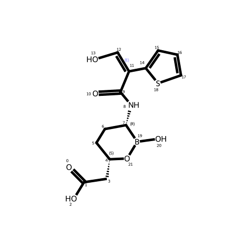 O=C(O)C[C@@H]1CC[C@H](NC(=O)/C(=C\O)c2cccs2)B(O)O1